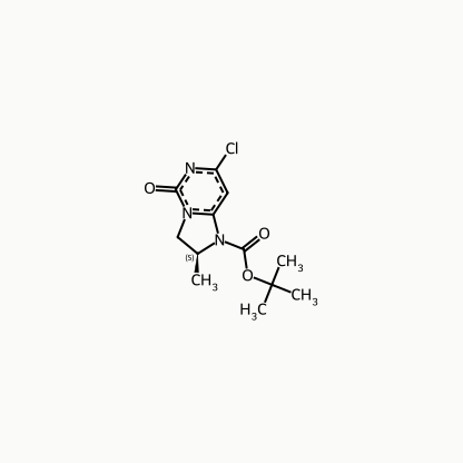 C[C@H]1Cn2c(cc(Cl)nc2=O)N1C(=O)OC(C)(C)C